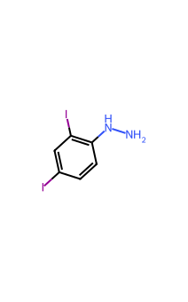 NNc1ccc(I)cc1I